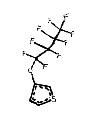 FC(F)(F)C(F)(F)C(F)(F)C(F)(F)Oc1ccsc1